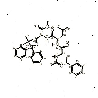 COC(=O)[C@H](CO[Si](c1ccccc1)(c1ccccc1)C(C)(C)C)NC(=O)[C@H](CC(C)C)NC(=O)[C@H](CCc1ccccc1)NC(C)=O